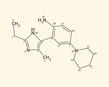 CCc1nc(C)c(-c2cc(N3CCCCC3)ccc2N)[nH]1